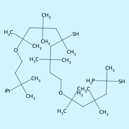 CC(C)C(C)(C)CCOC(C)(C)CC(C)(C)CC(C)(S)CC(C)(C)CCOC(C)(C)CC(C)(C)CC(C)(P)S